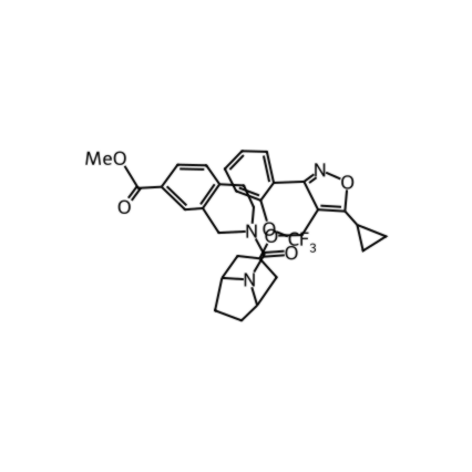 COC(=O)c1ccc2c(c1)CN(C(=O)N1C3CCC1CC(OCc1c(-c4ccccc4OC(F)(F)F)noc1C1CC1)C3)CC2